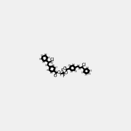 O=C(OCC(F)(F)OC(=O)c1ccc(CCC(Cl)c2ccccc2)cc1)c1ccc(CC(CCl)c2ccccc2)cc1